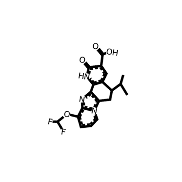 CC(C)C1Cc2c(nc3c(OC(F)F)cccn23)-c2[nH]c(=O)c(C(=O)O)cc21